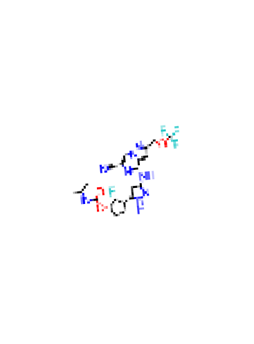 CC(C)NC(=O)O[C@@H]1CC[C@H](c2cc(Nc3nc(C#N)cn4nc(COC(F)(F)F)cc34)n[nH]2)[C@H]1F